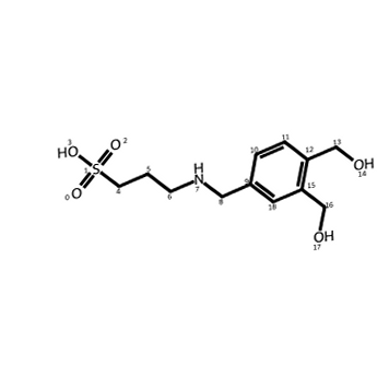 O=S(=O)(O)CCCNCc1ccc(CO)c(CO)c1